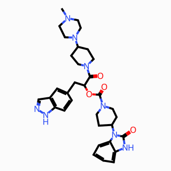 CN1CCN(C2CCN(C(=O)C(Cc3ccc4[nH]ncc4c3)OC(=O)N3CCC(n4c(=O)[nH]c5ccccc54)CC3)CC2)CC1